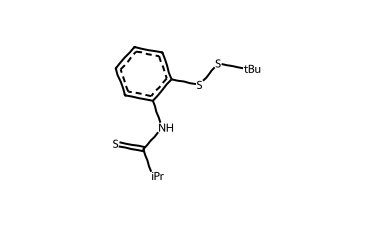 CC(C)C(=S)Nc1ccccc1SSC(C)(C)C